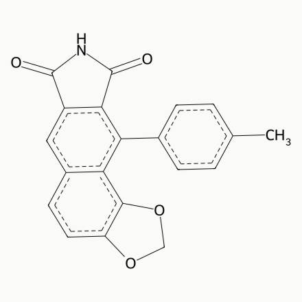 Cc1ccc(-c2c3c(cc4ccc5c(c24)OCO5)C(=O)NC3=O)cc1